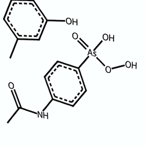 CC(=O)Nc1ccc([As](=O)(O)OO)cc1.Cc1cccc(O)c1